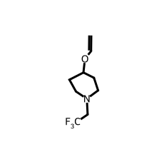 C=COC1CCN(CC(F)(F)F)CC1